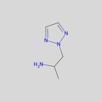 CC(N)Cn1nccn1